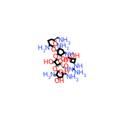 N=C(N)NC1CC(O)(C(=O)N[C@@H]2C[C@H](N)[C@@H](O[C@H]3O[C@H](CN)CC[C@H]3N)[C@H](O[C@@H]3O[C@H](CO)[C@@H](O[C@H]4O[C@@H](CN)C[C@H](O)[C@H]4N)[C@H]3O)[C@H]2O)C1